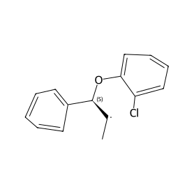 C[CH][C@H](Oc1ccccc1Cl)c1ccccc1